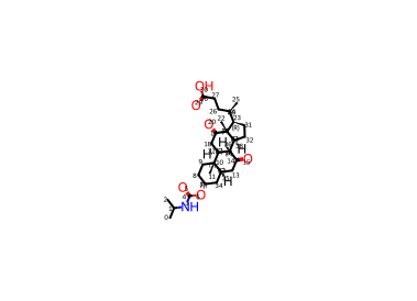 CC(C)NC(=O)O[C@@H]1CC[C@@]2(C)[C@H](CC(=O)[C@@H]3[C@@H]2CC(=O)[C@]2(C)[C@@H]([C@H](C)CCC(=O)O)CC[C@@H]32)C1